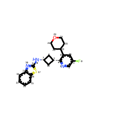 Fc1cnc([C@H]2C[C@@H](Nc3nc4ccccc4s3)C2)c(C2CCOCC2)c1